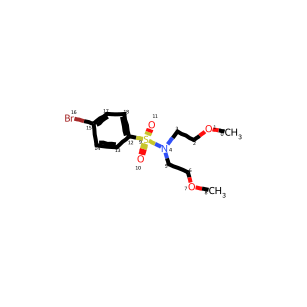 COCCN(CCOC)S(=O)(=O)c1ccc(Br)cc1